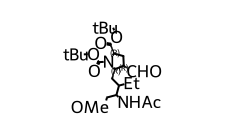 CCC(C[C@@H]1[C@H](C=O)C[C@H](C(=O)OC(C)(C)C)N1C(=O)OC(C)(C)C)C(COC)NC(C)=O